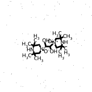 CC1(C)C[N+]([O-])(C(O)C(O)[N+]2([O-])CC(C)(C)NC(C)(C)C2)CC(C)(C)N1